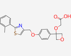 Cc1ccccc1-c1nc(COc2ccc(C3(OCC(=O)O)COC3)cc2)cs1